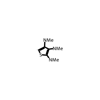 CNc1[c]sc(NC)c1NC